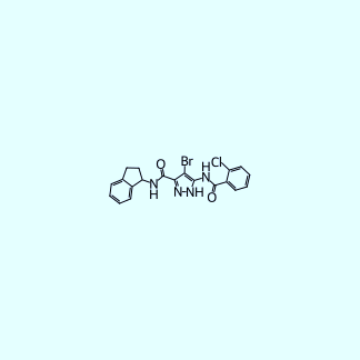 O=C(Nc1[nH]nc(C(=O)NC2CCc3ccccc32)c1Br)c1ccccc1Cl